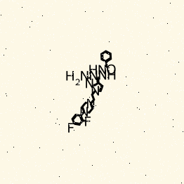 Nc1nc(NNC(=O)c2ccccc2)c2ccn(CCN3CCN(c4ccc(F)cc4F)CC3)c2n1